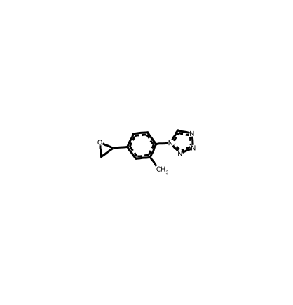 Cc1cc(C2CO2)ccc1-n1cnnn1